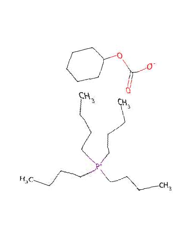 CCCC[P+](CCCC)(CCCC)CCCC.O=C([O-])OC1CCCCC1